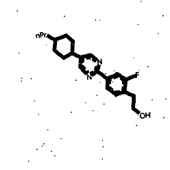 CCCC1CCC(c2cnc(-c3ccc(CCO)c(F)c3)nc2)CC1